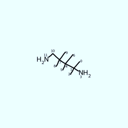 CC(C)(N)C(C)(C)C(C)(C)CN